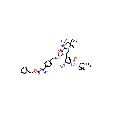 CC[C@@H](C)NC(=O)c1cc(N)cc(-c2cnc(N[C@@H](C)C(C)C)c(=O)n2CC(=O)NCc2ccc(/C(N)=N/C(=O)OCc3ccccc3)cc2)c1